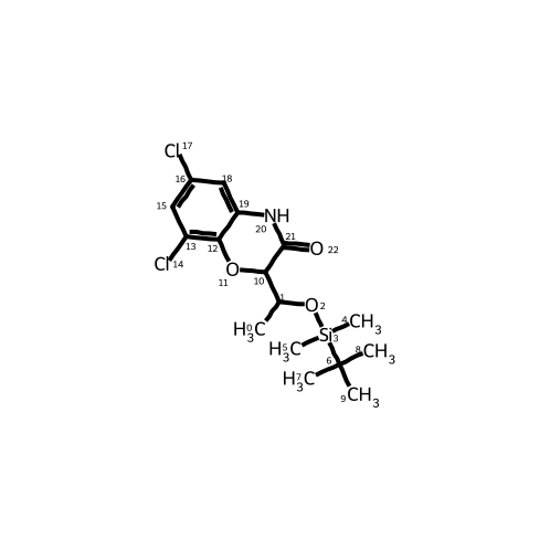 CC(O[Si](C)(C)C(C)(C)C)C1Oc2c(Cl)cc(Cl)cc2NC1=O